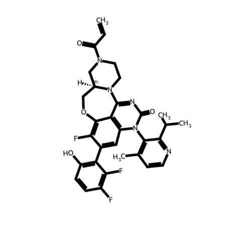 C=CC(=O)N1CCN2c3nc(=O)n(-c4c(C)ccnc4C(C)C)c4cc(-c5c(O)ccc(F)c5F)c(F)c(c34)OC[C@H]2C1